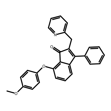 COc1ccc(Oc2cccc3c2C(=O)C(Cc2ccccn2)=C3c2ccccc2)cc1